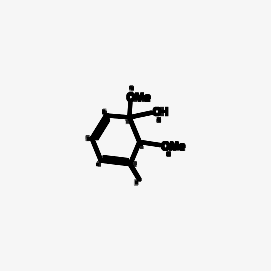 COC1C(C)=CC=CC1(O)OC